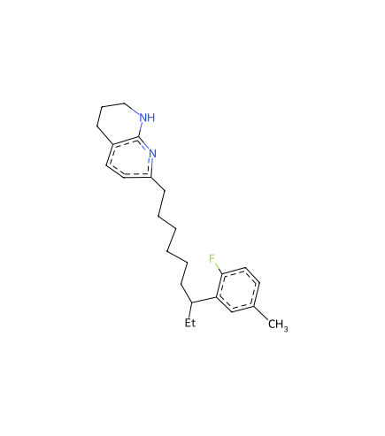 CCC(CCCCCCc1ccc2c(n1)NCCC2)c1cc(C)ccc1F